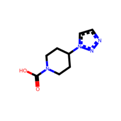 O=C(O)N1CCC(n2ccnn2)CC1